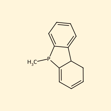 CP1C2=CC=CCC2c2ccccc21